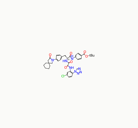 CC(C)(C)OC(=O)c1ccc(NC(=O)[C@H](Cc2ccc(N3CC4(CCCCC4)CC3=O)cc2)NC(=O)C(=O)Nc2cc(Cl)ccc2-n2cnnn2)cc1